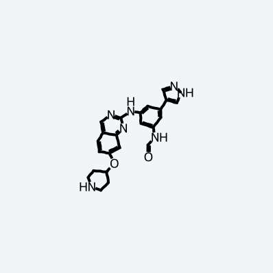 O=CNc1cc(Nc2ncc3ccc(OC4CCNCC4)cc3n2)cc(-c2cn[nH]c2)c1